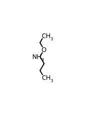 CCCCOCC.N